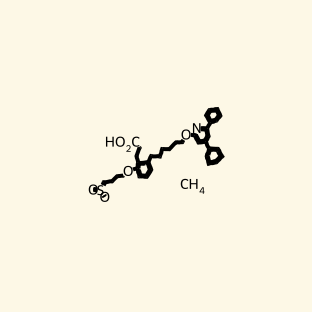 C.O=C(O)CCc1c(CCCCCCOc2cc(-c3ccccc3)cc(-c3ccccc3)n2)cccc1OCCCC=S(=O)=O